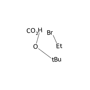 CC(C)(C)OC(=O)O.CCBr